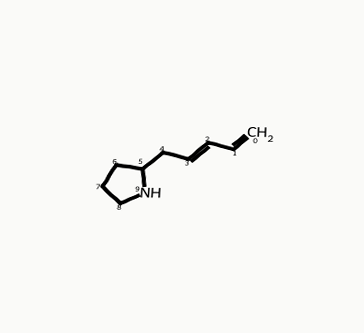 C=CC=CCC1CCCN1